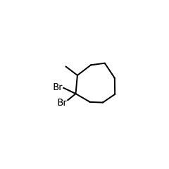 CC1CCCCCCC1(Br)Br